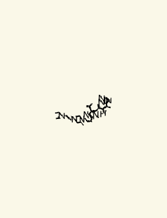 CCN(CC)CCN1CCN(c2ccc3[nH]c(-c4cn5ncnc5c(C)c4C)c(C(C)C)c3n2)[C@@H](C)C1